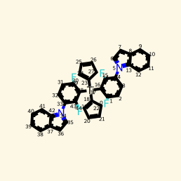 Fc1ccc(-n2ccc3ccccc32)c(F)[c]1[Ti]([C]1=CC=CC1)([C]1=CC=CC1)[c]1c(F)ccc(-n2ccc3ccccc32)c1F